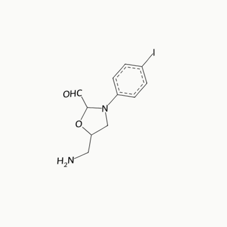 NCC1CN(c2ccc(I)cc2)C(C=O)O1